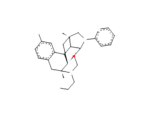 C[C@H](O)CN1CC[C@@]23c4cc(O)ccc4C[C@@H]1[C@]21CCC2C3[C@@H](CN2c2ccccn2)C1